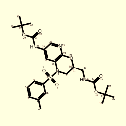 Cc1cccc(S(=O)(=O)N2C[C@H](CNC(=O)OC(C)(C)C)Oc3ncc(NC(=O)OC(C)(C)C)cc32)c1